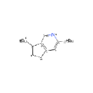 CC(C)(C)c1cc2c(cn1)C(C(C)(C)C)CC2